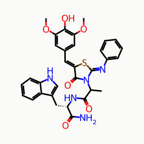 COc1cc(C=C2SC(=Nc3ccccc3)N(C(C)C(=O)N[C@@H](Cc3c[nH]c4ccccc34)C(N)=O)C2=O)cc(OC)c1O